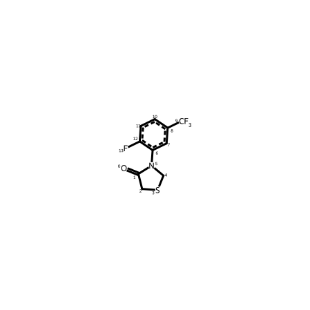 O=C1CSCN1c1cc(C(F)(F)F)ccc1F